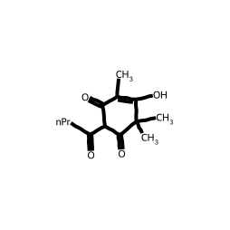 CCCC(=O)C1C(=O)C(C)=C(O)C(C)(C)C1=O